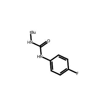 CC(C)(C)NC(=O)Nc1ccc(F)cc1